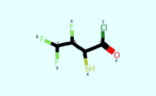 O=C(Cl)C(S)C(F)C(F)F